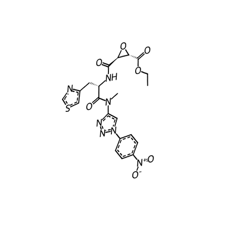 CCOC(=O)[C@H]1O[C@@H]1C(=O)N[C@@H](Cc1cscn1)C(=O)N(C)c1cn(-c2ccc([N+](=O)[O-])cc2)nn1